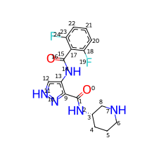 O=C(N[C@H]1CCCNC1)c1n[nH]cc1NC(=O)c1c(F)cccc1F